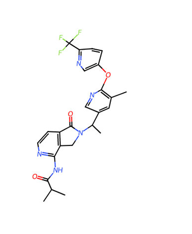 Cc1cc(C(C)N2Cc3c(ccnc3NC(=O)C(C)C)C2=O)cnc1Oc1ccc(C(F)(F)F)nc1